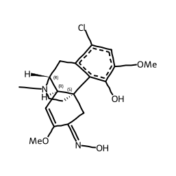 COC1=C[C@H]2[C@H]3Cc4c(Cl)cc(OC)c(O)c4[C@@]2(CCN3C)CC1=NO